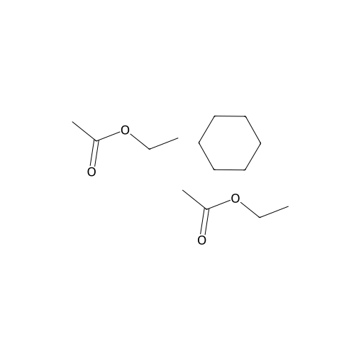 C1CCCCC1.CCOC(C)=O.CCOC(C)=O